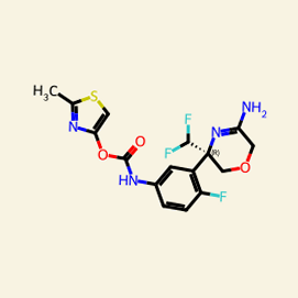 Cc1nc(OC(=O)Nc2ccc(F)c([C@]3(C(F)F)COCC(N)=N3)c2)cs1